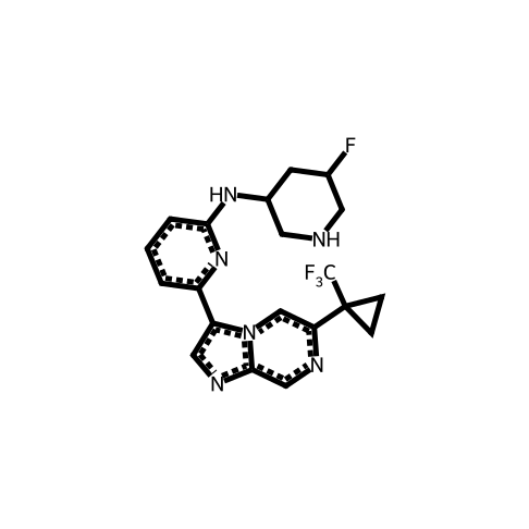 FC1CNCC(Nc2cccc(-c3cnc4cnc(C5(C(F)(F)F)CC5)cn34)n2)C1